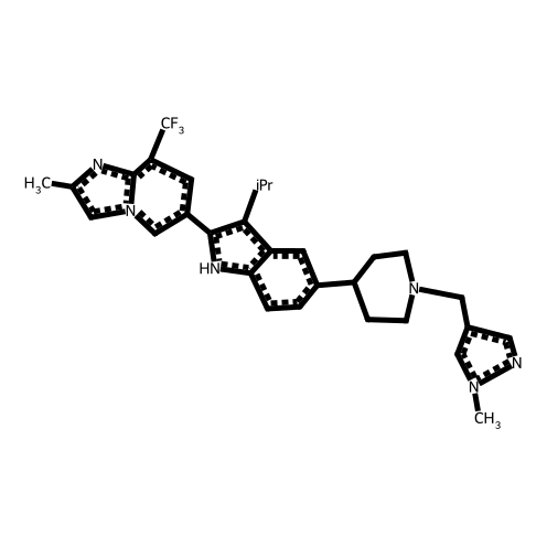 Cc1cn2cc(-c3[nH]c4ccc(C5CCN(Cc6cnn(C)c6)CC5)cc4c3C(C)C)cc(C(F)(F)F)c2n1